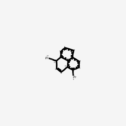 CC(C)c1ccc2cccc3c2c1C=CC3C(C)C